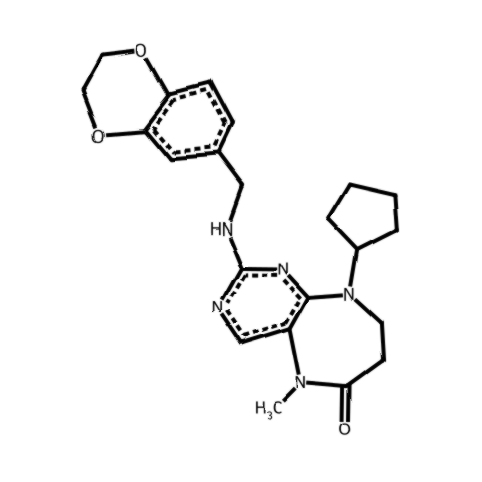 CN1C(=O)CCN(C2CCCC2)c2nc(NCc3ccc4c(c3)OCCO4)ncc21